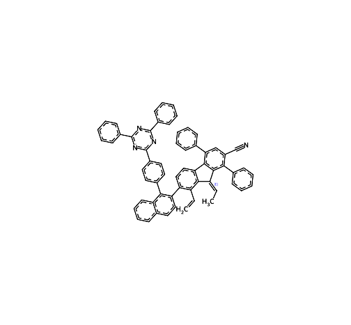 C=Cc1c(-c2ccc3ccccc3c2-c2ccc(-c3nc(-c4ccccc4)nc(-c4ccccc4)n3)cc2)ccc2c1/C(=C\C)c1c(-c3ccccc3)c(C#N)cc(-c3ccccc3)c1-2